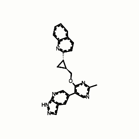 Cc1ncc(-c2cnc3[nH]ncc3c2)c(OC[C@H]2C[C@@H]2c2ccc3ccccc3n2)n1